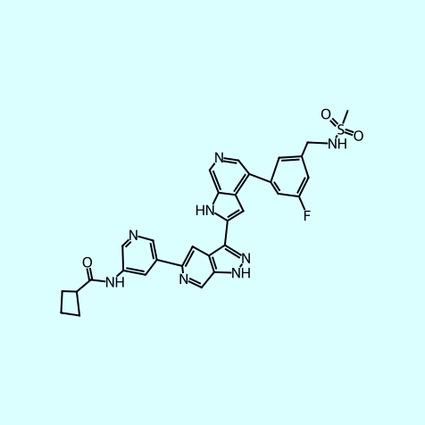 CS(=O)(=O)NCc1cc(F)cc(-c2cncc3[nH]c(-c4n[nH]c5cnc(-c6cncc(NC(=O)C7CCC7)c6)cc45)cc23)c1